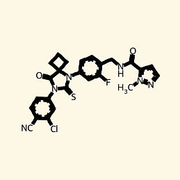 Cn1nccc1C(=O)NCc1ccc(N2C(=S)N(c3ccc(C#N)c(Cl)c3)C(=O)C23CCC3)cc1F